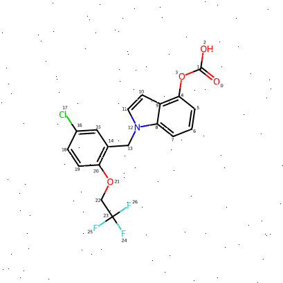 O=C(O)Oc1cccc2c1ccn2Cc1cc(Cl)ccc1OCC(F)(F)F